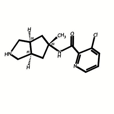 C[C@@]1(NC(=O)c2ncccc2Cl)C[C@H]2CNC[C@H]2C1